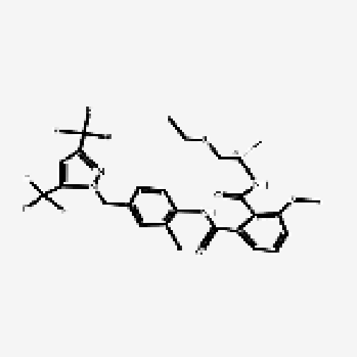 CCSC[C@H](C)NC(=O)c1c(SC)cccc1C(=O)Nc1ccc(Cn2nc(C(F)(F)F)cc2C(F)(F)F)cc1C